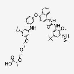 COc1cc(Nc2cc(Oc3ccc(NC(=O)Nc4cc(C(C)(C)C)cc(NSC)c4OC)c4ccccc34)ccn2)cc(OCCOCCOC(C)C(=O)O)c1